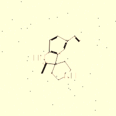 C=Cc1ccc2c(c1)C1(CCNCC1)C(=C)N2